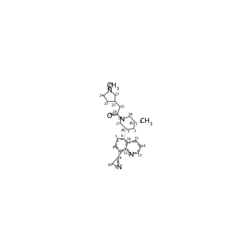 C[C@@H]1C[C@H](c2ccc(C3=NC3)c3ncccc23)CN(C(=O)CC2CCN(C)C2)C1